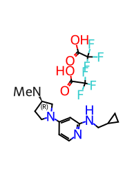 CN[C@@H]1CCN(c2ccnc(NCC3CC3)c2)C1.O=C(O)C(F)(F)F.O=C(O)C(F)(F)F